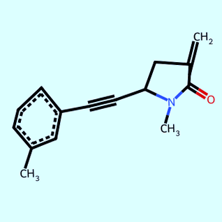 C=C1CC(C#Cc2cccc(C)c2)N(C)C1=O